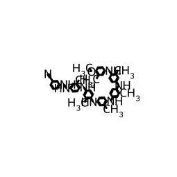 COc1ccc(Nc2ccc(Nc3ccc(Nc4ccc(Nc5ccc(Nc6ccc(NNc7cccc(C#N)c7)cc6C)cc5C)cc4C)cc3C)cc2C)cc1C